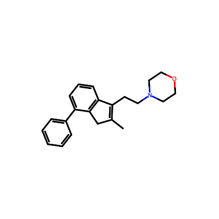 CC1=C(CCN2CCOCC2)c2cccc(-c3ccccc3)c2C1